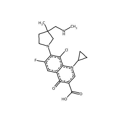 CNCC1(C)CCN(c2c(F)cc3c(=O)c(C(=O)O)cn(C4CC4)c3c2Cl)C1